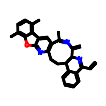 C=CC1=NC2C(=C)/N=C(/C)c3cc4c(nc3CCC2c2ccccc21)oc1c(C)ccc(C)c14